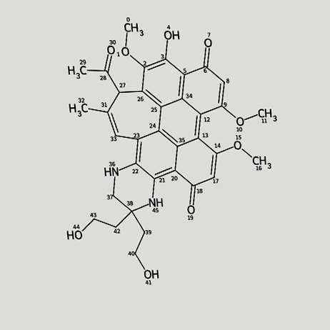 COc1c(O)c2c(=O)cc(OC)c3c4c(OC)cc(=O)c5c6c(c7c(c(c1C(C(C)=O)C(C)=C7)c23)c54)NCC(CCO)(CCO)N6